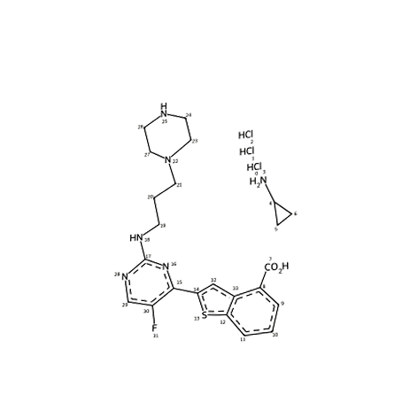 Cl.Cl.Cl.NC1CC1.O=C(O)c1cccc2sc(-c3nc(NCCCN4CCNCC4)ncc3F)cc12